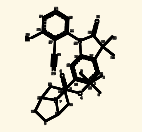 CC(C)(C)OC(=O)N1C2CCC1CN(c1ccc3c(c1)N(c1cccc(Br)c1C#N)C(=O)C3(C)C)C2